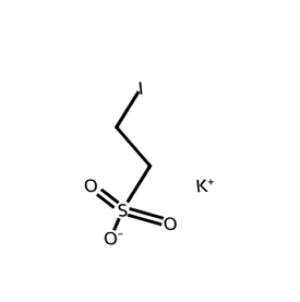 O=S(=O)([O-])CCI.[K+]